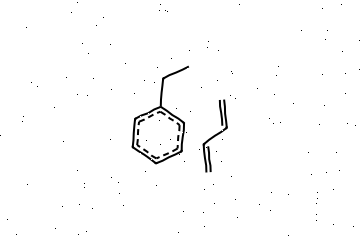 C=CC=C.CCc1ccccc1